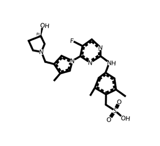 Cc1cn(-c2nc(Nc3cc(C)c(CS(=O)(=O)O)c(C)c3)ncc2F)cc1CN1CC[C@@H](O)C1